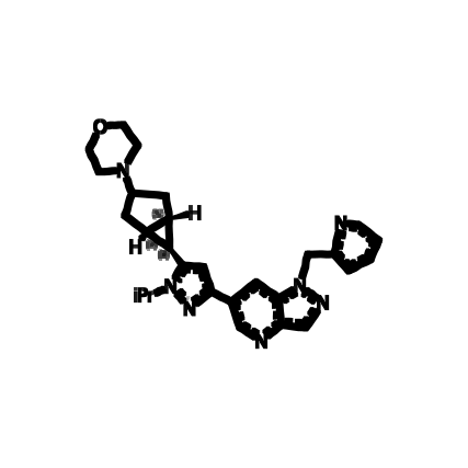 CC(C)n1nc(-c2cnc3cnn(Cc4ccccn4)c3c2)cc1[C@H]1[C@@H]2CC(N3CCOCC3)C[C@@H]21